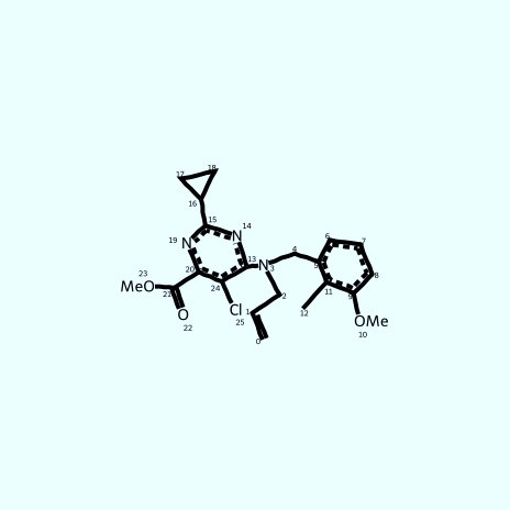 C=CCN(Cc1cccc(OC)c1C)c1nc(C2CC2)nc(C(=O)OC)c1Cl